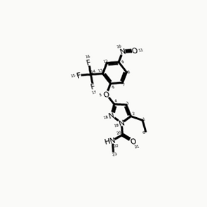 CCc1cc(Oc2ccc(N=O)cc2C(F)(F)F)nn1C(=O)NC